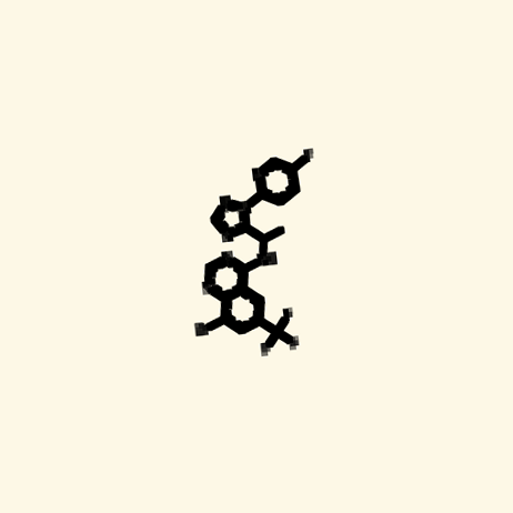 CC(Nc1ncnc2c(Br)cc(C(F)(F)F)cc12)c1ncnn1-c1ccc(F)cn1